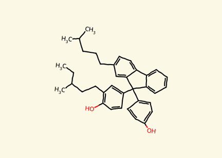 CCC(C)CCc1cc(C2(c3ccc(O)cc3)c3ccccc3-c3ccc(CCCC(C)C)cc32)ccc1O